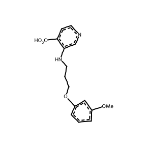 COc1cccc(OCCCNc2cnccc2C(=O)O)c1